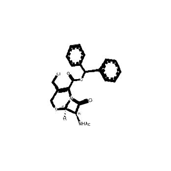 CC(=O)N[C@@H]1C(=O)N2C(C(=O)OC(c3ccccc3)c3ccccc3)=C(CCl)CS[C@H]12